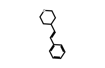 C(=CC1CCOCC1)c1ccccc1